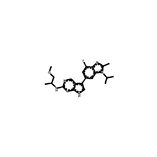 COCC(C)Nc1ncc2c(-c3cc(F)c4nc(C)n(C(C)C)c4c3)c[nH]c2n1